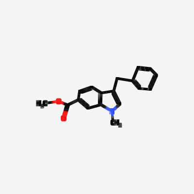 COC(=O)c1ccc2c(Cc3ccccc3)cn(C)c2c1